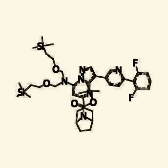 CC(C)(C)OC(=O)N1C2CCC1CC(c1cc(N(COCC[Si](C)(C)C)COCC[Si](C)(C)C)n3ncc(-c4ccc(-c5c(F)cccc5F)nc4)c3n1)C2